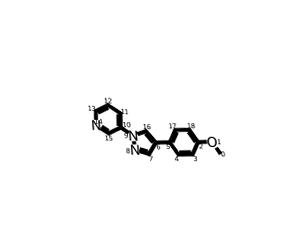 COc1ccc(-c2cnn(-c3cccnc3)c2)cc1